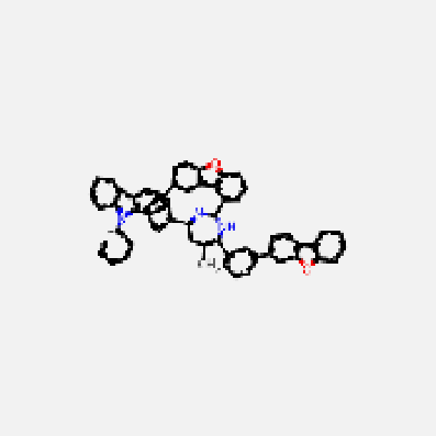 CC1=C(c2cccc(-c3ccc4c(c3)oc3ccccc34)c2)NC(c2cccc3oc4ccc(-c5ccc6c(c5)c5ccccc5n6-c5ccccc5)cc4c23)N=C(c2ccccc2)C1